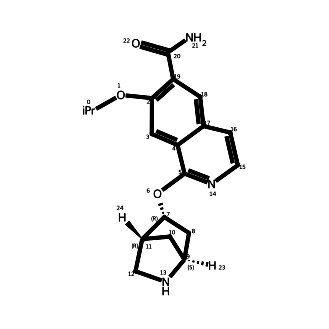 CC(C)Oc1cc2c(O[C@@H]3C[C@@H]4C[C@@H]3CN4)nccc2cc1C(N)=O